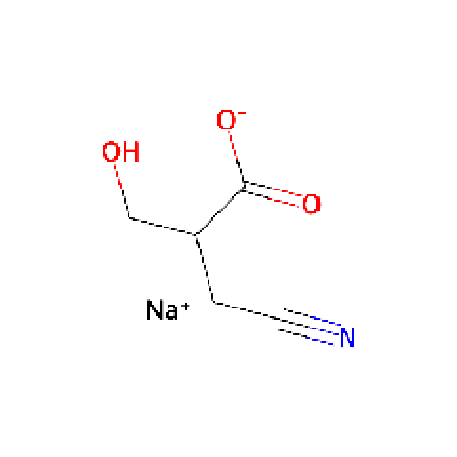 N#CCC(CO)C(=O)[O-].[Na+]